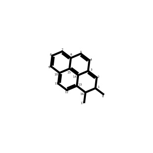 CC1C=c2ccc3cccc4ccc(c2c43)C1C